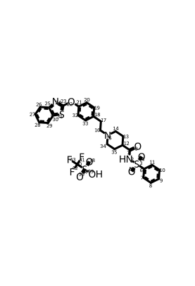 O=C(NS(=O)(=O)c1ccccc1)C1CCN(CCc2ccc(Oc3nc4ccccc4s3)cc2)CC1.O=S(=O)(O)C(F)(F)F